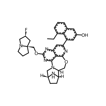 CCc1cccc2cc(O)cc(-c3cc4nc(OC[C@@]56CCCN5C[C@@H](F)C6)nc5c4c(n3)OC[C@H]3[C@@H]4CC[C@H](CN53)N4)c12